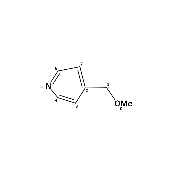 CO[CH]c1ccncc1